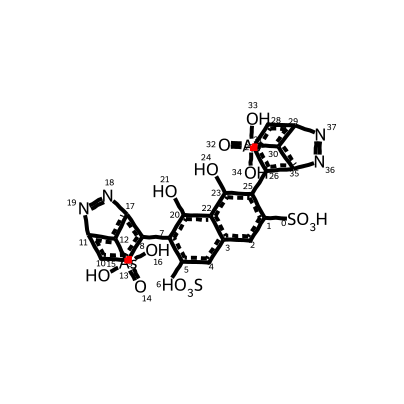 O=S(=O)(O)c1cc2cc(S(=O)(=O)O)c(-c3ccc4c([As](=O)(O)O)c3N=N4)c(O)c2c(O)c1-c1ccc2c([As](=O)(O)O)c1N=N2